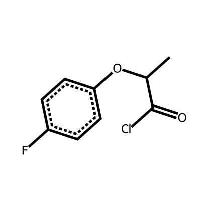 CC(Oc1ccc(F)cc1)C(=O)Cl